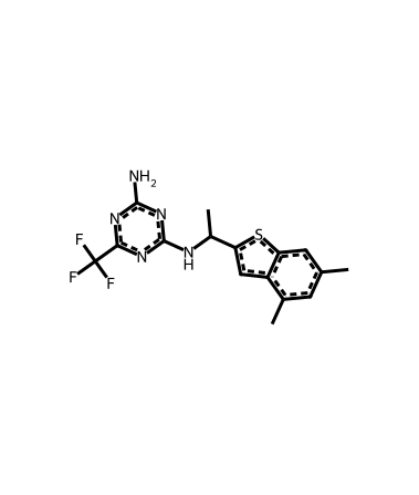 Cc1cc(C)c2cc(C(C)Nc3nc(N)nc(C(F)(F)F)n3)sc2c1